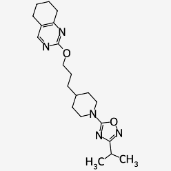 CC(C)c1noc(N2CCC(CCCOc3ncc4c(n3)CCCC4)CC2)n1